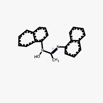 C/C(=N\c1cccc2ccccc12)N(O)c1cccc2ccccc12